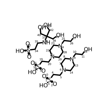 O=S(=O)(O)CCN1CCN(CCO)CC1.O=S(=O)(O)CCN1CCN(CCO)CC1.O=S(=O)(O)CCNC(CO)(CO)CO